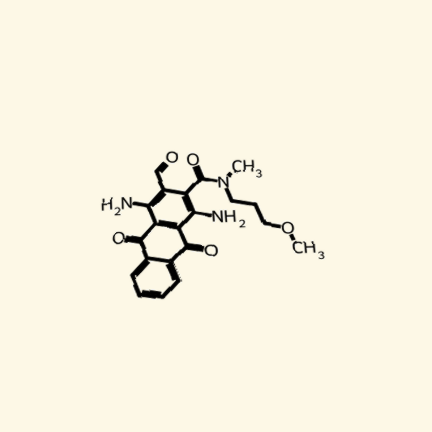 COCCCN(C)C(=O)c1c(N)c2c(c(N)c1C=O)C(=O)c1ccccc1C2=O